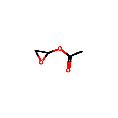 CC(=O)OC1CO1